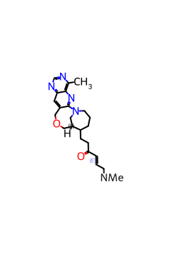 CNC/C=C/C(=O)CCC1CCCN2C[C@H]1COCc1cc3ncnc(C)c3nc12